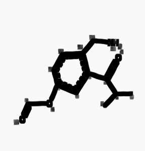 CC(C)C(=O)c1cc(OC=O)ccc1CN